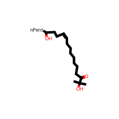 CCCCCC(O)CC/C=C\CCCCCCCC(=O)C(C)(C)O